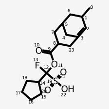 CC1C=C2CC(C1)CC(C(=O)OC(F)(C1CCCC1)S(=O)(=O)O)C2